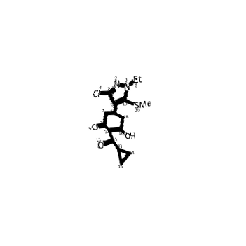 CCn1nc(Cl)c(C2CC(=O)C(C(=O)C3CC3)=C(O)C2)c1SC